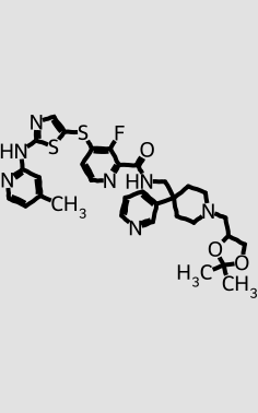 Cc1ccnc(Nc2ncc(Sc3ccnc(C(=O)NCC4(c5cccnc5)CCN(CC5COC(C)(C)O5)CC4)c3F)s2)c1